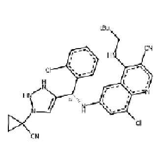 CC(C)(C)CNc1c(C#N)cnc2c(Cl)cc(N[C@H](C3=CN(C4(C#N)CC4)NN3)c3ccccc3Cl)cc12